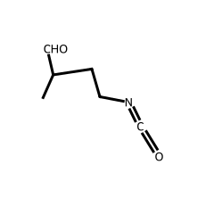 CC(C=O)CCN=C=O